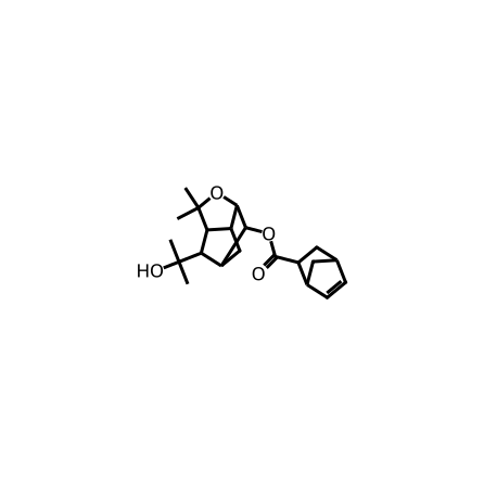 CC(C)(O)C1C2CC3C(OC(C)(C)C31)C2OC(=O)C1CC2C=CC1C2